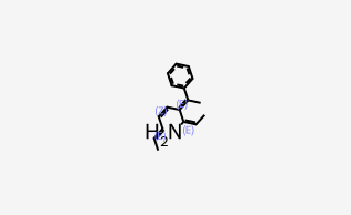 C/C=C/C=C\C(C(\N)=C/C)=C(\C)c1ccccc1